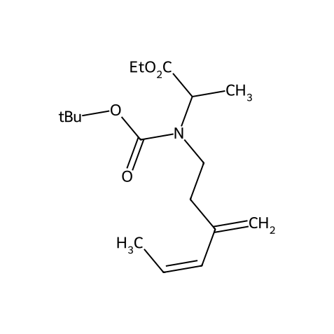 C=C(/C=C\C)CCN(C(=O)OC(C)(C)C)C(C)C(=O)OCC